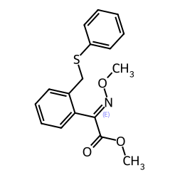 CO/N=C(/C(=O)OC)c1ccccc1CSc1ccccc1